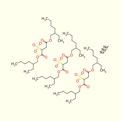 CCCCC(CC)COC(=O)CC(C(=O)OCC(CC)CCCC)S(=O)(=O)[O-].CCCCC(CC)COC(=O)CC(C(=O)OCC(CC)CCCC)S(=O)(=O)[O-].CCCCC(CC)COC(=O)CC(C(=O)OCC(CC)CCCC)S(=O)(=O)[O-].[Na+].[Na+].[Na+]